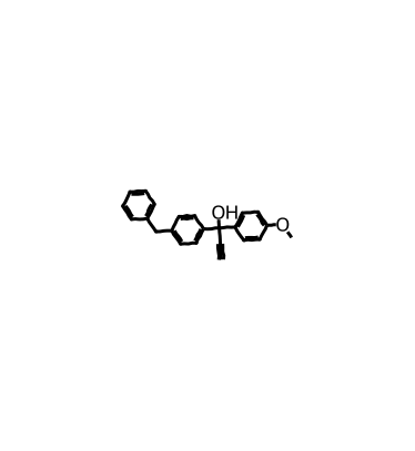 C#CC(O)(c1ccc(Cc2ccccc2)cc1)c1ccc(OC)cc1